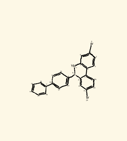 Brc1ccc2c(c1)NP(c1ccc(-c3ccccc3)cc1)c1cc(Br)ccc1-2